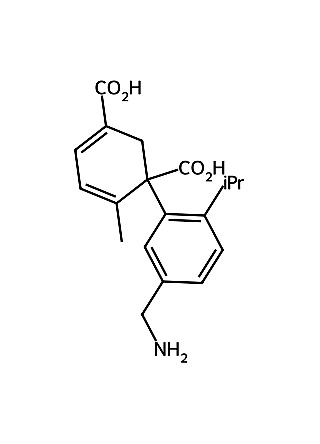 CC1=CC=C(C(=O)O)CC1(C(=O)O)c1cc(CN)ccc1C(C)C